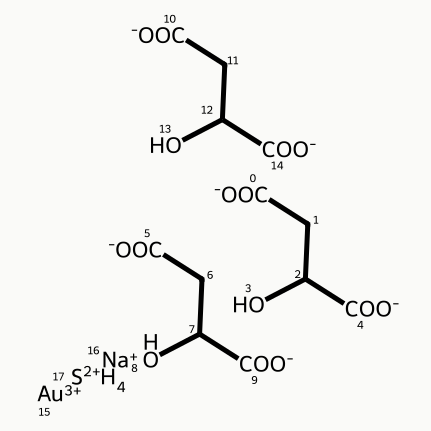 O=C([O-])CC(O)C(=O)[O-].O=C([O-])CC(O)C(=O)[O-].O=C([O-])CC(O)C(=O)[O-].[Au+3].[Na+].[SH4+2]